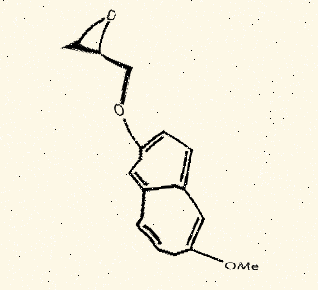 COc1ccc2cc(OC[C@H]3CO3)ccc2c1